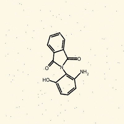 Nc1cccc(O)c1N1C(=O)c2ccccc2C1=O